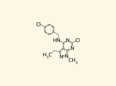 CCc1nn(C)c2nc(Cl)nc(NCc3ccc(Cl)cc3)c12